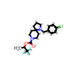 CC(OC(=O)N1CCC2(CCCN2Cc2ccc(Cl)cc2)CC1)C(F)(F)F